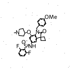 COc1ccc(CN2C(=O)C3(CCC3)c3cc(N[S@@+]([O-])c4c(F)cccc4F)cc(OC4CCN(C)CC4)c32)cc1